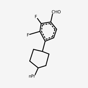 CCCC1CCC(c2ccc(C=O)c(F)c2F)CC1